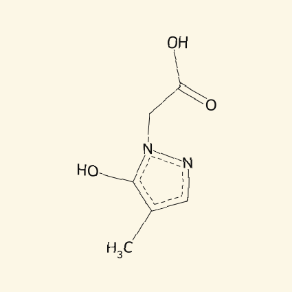 Cc1cnn(CC(=O)O)c1O